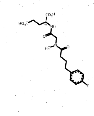 O=C(O)CC[C@H](NC(=O)CN(O)C(=O)CCCc1ccc(F)cc1)C(=O)O